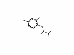 OC(Cc1ccc(Cl)cc1Br)C(F)F